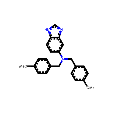 COc1ccc(CN(Cc2ccc(OC)cc2)c2ccc3[nH]cnc3c2)cc1